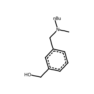 CCCCN(C)Cc1cccc(CO)c1